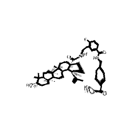 C=C(C)[C@@H]1CC[C@]2(C(=O)NCc3cc(C(=O)NCc4ccc(C(=O)O)cc4)ccc3F)CC[C@]3(C)C(CCC4[C@@]5(C)CC[C@H](O)C(C)(C)C5CC[C@]43C)C12